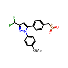 COc1ccc(-n2nc(C(F)F)cc2-c2ccc(C[SH](=O)=O)cc2)cc1